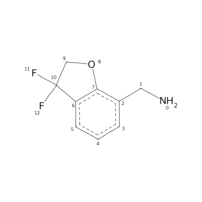 NCc1cccc2c1OCC2(F)F